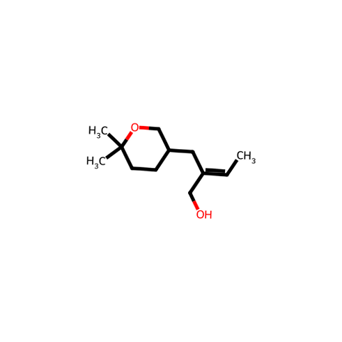 C/C=C(/CO)CC1CCC(C)(C)OC1